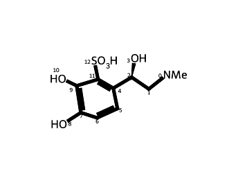 CNC[C@H](O)c1ccc(O)c(O)c1S(=O)(=O)O